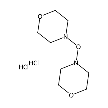 C1CN(ON2CCOCC2)CCO1.Cl.Cl